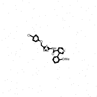 COc1ccccc1-c1cnccc1C(=O)Nc1nnc(COc2ccc(Cl)cc2)s1